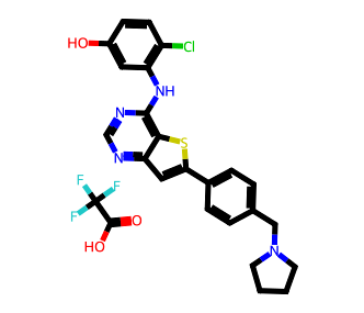 O=C(O)C(F)(F)F.Oc1ccc(Cl)c(Nc2ncnc3cc(-c4ccc(CN5CCCC5)cc4)sc23)c1